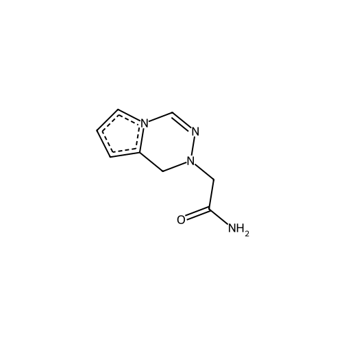 NC(=O)CN1Cc2cccn2C=N1